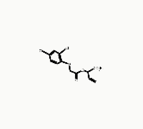 C=CC(OC(=O)COc1ccc(Cl)cc1Cl)C(=O)OCC